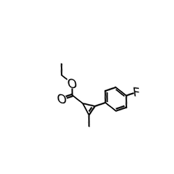 CCOC(=O)C1C(C)=C1c1ccc(F)cc1